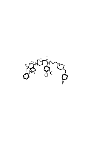 O=C(c1cnn(-c2ccccc2)c1C(F)(F)F)N1CCC(C(=O)N(CCCN2CCC(Cc3ccc(F)cc3)CC2)c2ccc(Cl)c(Cl)c2)CC1